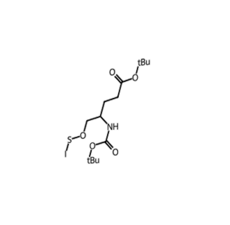 CC(C)(C)OC(=O)CCC(COSI)NC(=O)OC(C)(C)C